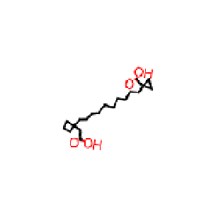 O=C(O)CC1(CCCCCCCCCCC2(C(=O)O)CC2)CCC1